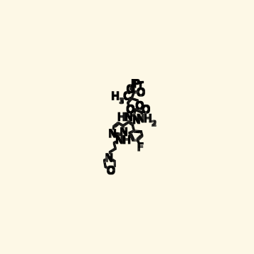 CC(C)OC(=O)C1(C)COC(C(N)=O)(c2nc(-c3ccc(F)cc3)c(-c3ccnc(NCCCN4CCOCC4)n3)[nH]2)OC1